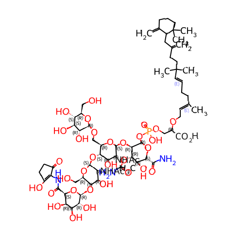 C=C(CCC(C)(C)/C=C/CC/C(C)=C/CO[C@H](COP(=O)(O)O[C@H]1O[C@H](C(N)=O)[C@@](C)(O)[C@H](OC(N)=O)[C@H]1O[C@@H]1O[C@H](CO[C@@H]2O[C@H](CO)[C@@H](O)[C@H](O)[C@H]2O)[C@@H](O[C@@H]2O[C@H](CO)[C@@H](O[C@@H]3O[C@H](C(=O)NC4=C(O)CCC4=O)[C@H](O)[C@H](O)[C@H]3O)[C@H](O)[C@H]2NC(C)=O)[C@H](O)[C@H]1NC(C)=O)C(=O)O)CC1C(=C)CCCC1(C)C